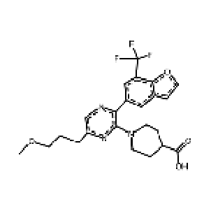 COCCCc1cnc(-c2cc(C(F)(F)F)c3occc3c2)c(N2CCC(C(=O)O)CC2)n1